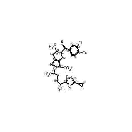 CC(NC[C@@H](C)n1nc2c(c1C(=O)O)CN(C(=O)c1ccc(Cl)c(Cl)c1)[C@H](C)C2)c1nnc(C2CC2)o1